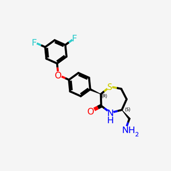 NC[C@@H]1CCS[C@H](c2ccc(Oc3cc(F)cc(F)c3)cc2)C(=O)N1